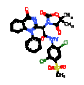 CC1(C)OC(=O)N(C(C(=O)Nc2cc(Cl)c(S(C)(=O)=O)cc2Cl)c2nc(=O)c3ccccc3n2-c2ccccc2)C1=O